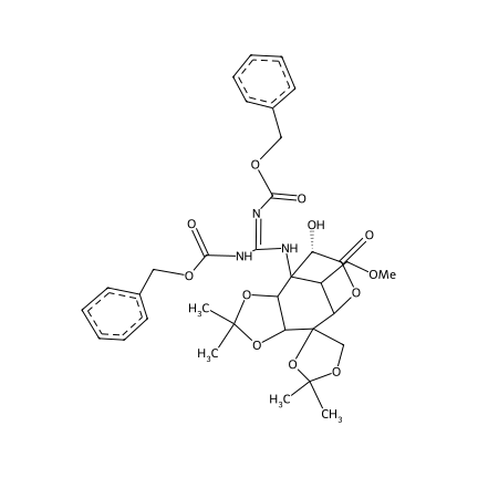 COCC1C2OC(=O)[C@@H](O)C1(N/C(=N\C(=O)OCc1ccccc1)NC(=O)OCc1ccccc1)C1OC(C)(C)OC1C21COC(C)(C)O1